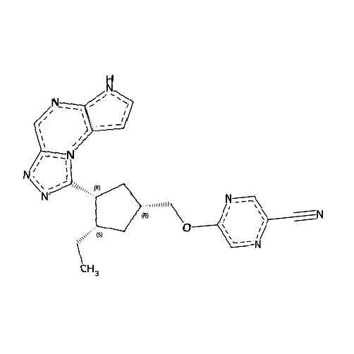 CC[C@H]1C[C@@H](COc2cnc(C#N)cn2)C[C@H]1c1nnc2cnc3[nH]ccc3n12